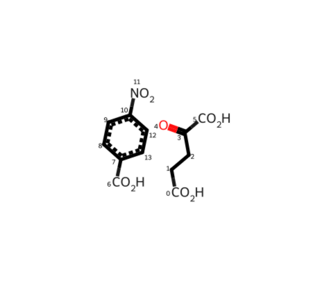 O=C(O)CCC(=O)C(=O)O.O=C(O)c1ccc([N+](=O)[O-])cc1